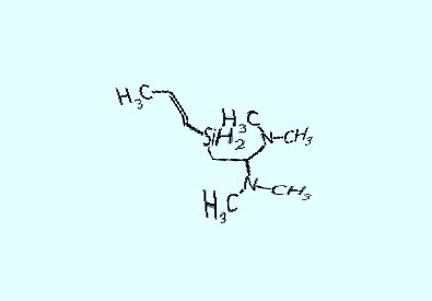 CC=C[SiH2]CC(N(C)C)N(C)C